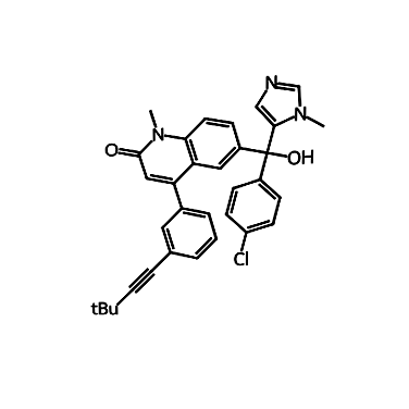 Cn1cncc1C(O)(c1ccc(Cl)cc1)c1ccc2c(c1)c(-c1cccc(C#CC(C)(C)C)c1)cc(=O)n2C